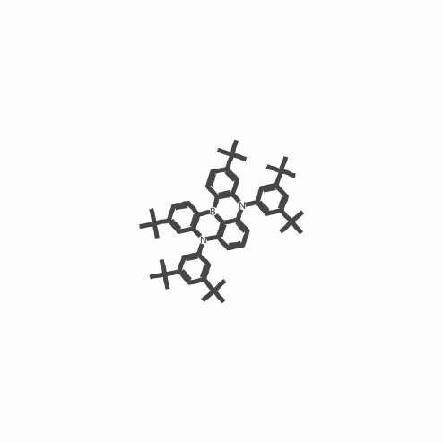 CC(C)(C)c1cc(N2c3cc(C(C)(C)C)ccc3B3c4ccc(C(C)(C)C)cc4N(c4cc(C(C)(C)C)cc(C(C)(C)C)c4)c4cccc2c43)cc(C(C)(C)C)c1